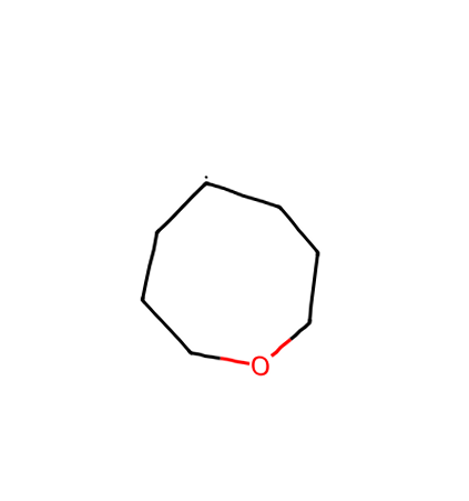 [CH]1CCCOCCC1